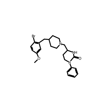 COc1ccc(Br)c(CC2CCN(CC3CCN(c4ccccc4)C(=O)N3)CC2)c1